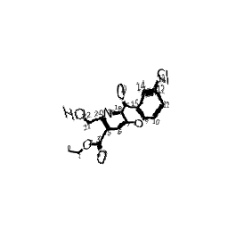 CCOC(=O)c1cc2oc3ccc(Cl)cc3c(=O)c2nc1CO